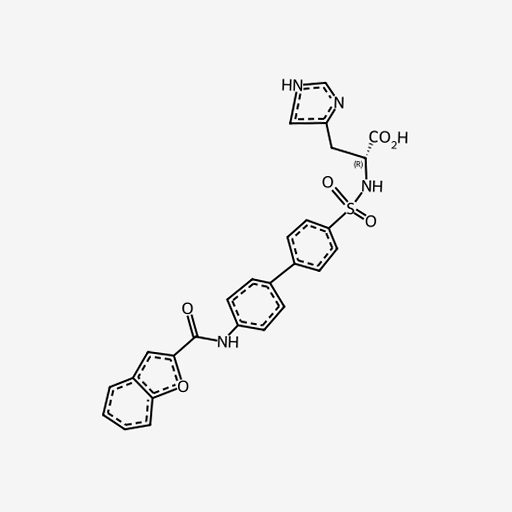 O=C(Nc1ccc(-c2ccc(S(=O)(=O)N[C@H](Cc3c[nH]cn3)C(=O)O)cc2)cc1)c1cc2ccccc2o1